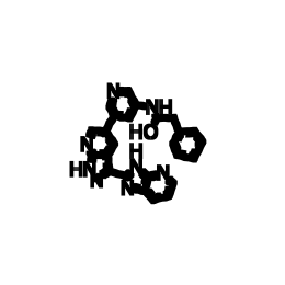 OC(Cc1ccccc1)Nc1cncc(-c2cnc3[nH]nc(-c4nc5cccnc5[nH]4)c3c2)c1